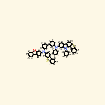 c1ccc(N(c2cccc(-c3cccc(N(c4ccc5c(c4)oc4ccccc45)c4ccc5c(c4)sc4ccccc45)c3)c2)c2ccc3c4ccc5sc6ccccc6c5c4n(-c4ccccc4)c3c2)cc1